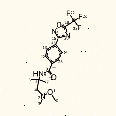 CON(C)CC(C)(C)NC(=O)c1ccc(-c2noc(C(F)(F)F)n2)cc1